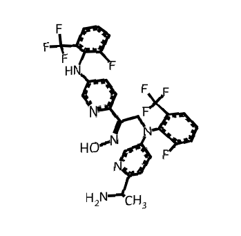 CC(N)c1ccc(N(CC(=NO)c2ccc(Nc3c(F)cccc3C(F)(F)F)cn2)c2c(F)cccc2C(F)(F)F)cn1